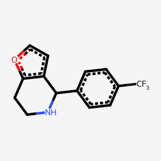 FC(F)(F)c1ccc(C2NCCc3occc32)cc1